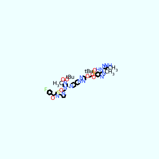 Cc1[nH]nc(Nc2ncnc3cc(OCCOc4cnc(N5CCC6(CCN(C[C@H]7CN(C(=O)OC(C)(C)C)[C@H](C)CN7CC(=O)N7CCCC7c7nc(C(=O)c8ccc(F)cc8)cs7)CC6)CC5)nc4)c(S(=O)(=O)C(C)(C)C)cc23)c1C